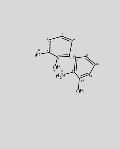 CC(C)c1ccccc1O.Nc1ccccc1O